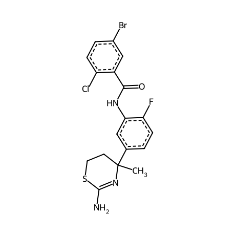 CC1(c2ccc(F)c(NC(=O)c3cc(Br)ccc3Cl)c2)CCSC(N)=N1